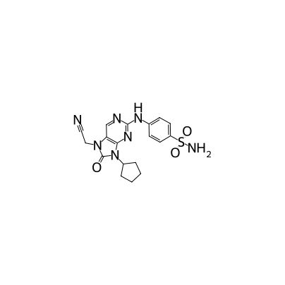 N#CCn1c(=O)n(C2CCCC2)c2nc(Nc3ccc(S(N)(=O)=O)cc3)ncc21